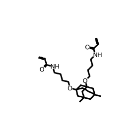 C=CC(=O)NCCCCOC12CC3(C)CC(C)(C1)CC(OCCCCNC(=O)C=C)(C3)C2